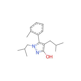 Cc1ccccc1-c1c(CC(C)C)c(O)nn1CC(C)C